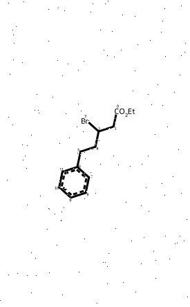 CCOC(=O)CC(Br)CCc1ccccc1